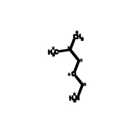 CC(C)COCN